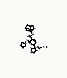 O=C(O)CO[C@]1(c2ccc(C(=O)NC3C4CC5CC(C4)CC3C5)c(SC3CCCC3)n2)CCNC1